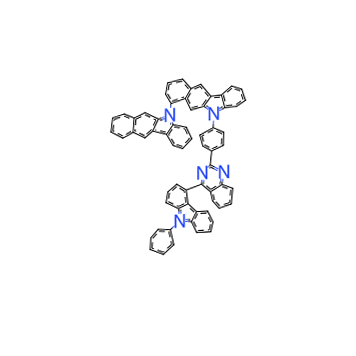 c1ccc(-n2c3ccccc3c3c(-c4nc(-c5ccc(-n6c7ccccc7c7cc8cccc(-n9c%10ccccc%10c%10cc%11ccccc%11cc%109)c8cc76)cc5)nc5ccccc45)cccc32)cc1